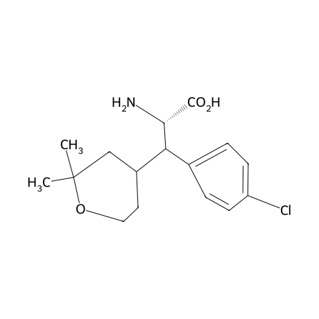 CC1(C)CC(C(c2ccc(Cl)cc2)[C@H](N)C(=O)O)CCO1